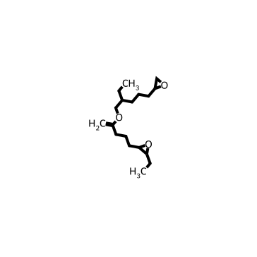 C=C(CCCC1OC1CC)OCC(CC)CCCC1CO1